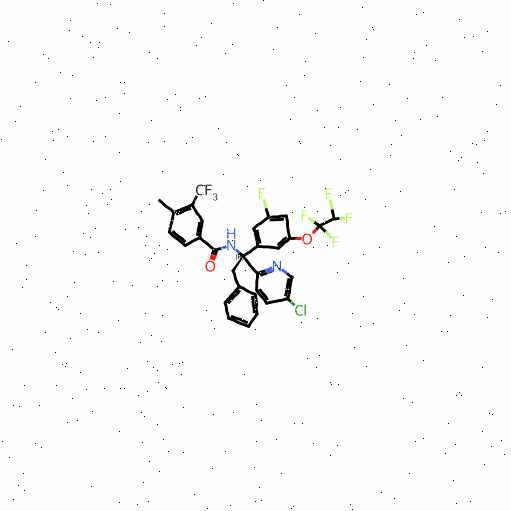 Cc1ccc(C(=O)N[C@](Cc2ccccc2)(c2cc(F)cc(OC(F)(F)C(F)F)c2)c2ccc(Cl)cn2)cc1C(F)(F)F